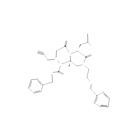 C#CCN1CC(=O)N2[C@@H](CC(C)C)C(=O)N(CCSCc3ccccc3)C[C@@H]2N1C(=O)NCc1ccccc1